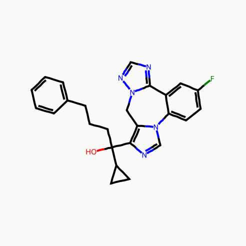 OC(CCCc1ccccc1)(c1ncn2c1Cn1ncnc1-c1cc(F)ccc1-2)C1CC1